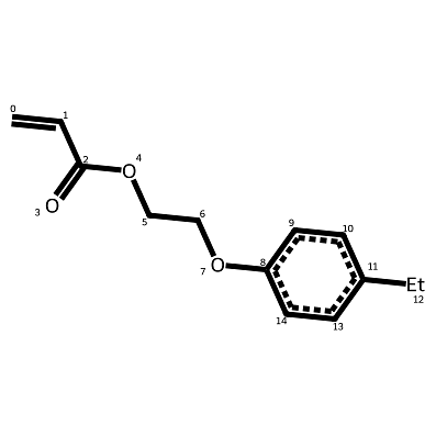 C=CC(=O)OCCOc1ccc(CC)cc1